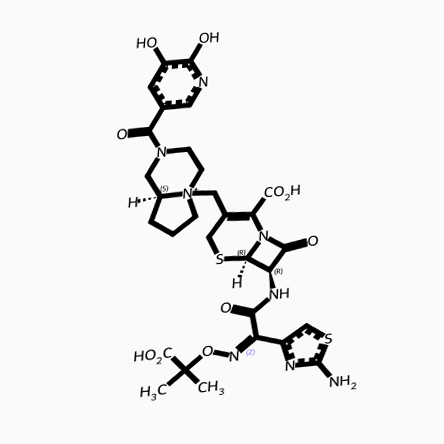 CC(C)(O/N=C(\C(=O)N[C@@H]1C(=O)N2C(C(=O)O)=C(C[N+]34CCC[C@H]3CN(C(=O)c3cnc(O)c(O)c3)CC4)CS[C@H]12)c1csc(N)n1)C(=O)O